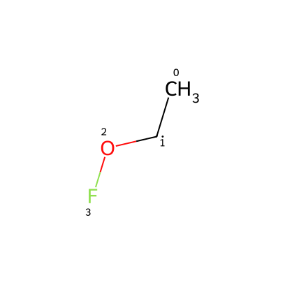 C[CH]OF